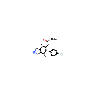 COC(=O)Cc1c(C)c2c(c(C)c1-c1ccc(Cl)cc1)CNC2